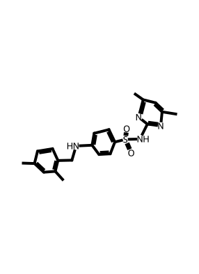 Cc1ccc(CNc2ccc(S(=O)(=O)Nc3nc(C)cc(C)n3)cc2)c(C)c1